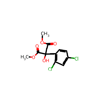 COC(=O)C(O)(C(=O)OC)c1ccc(Cl)cc1Cl